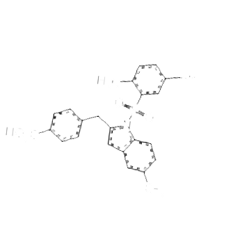 Cc1ccc(C(C)C)cc1S(=O)(=O)n1c(Cc2ccc(C(=O)O)cc2)cc2cc(C(F)(F)F)ccc21